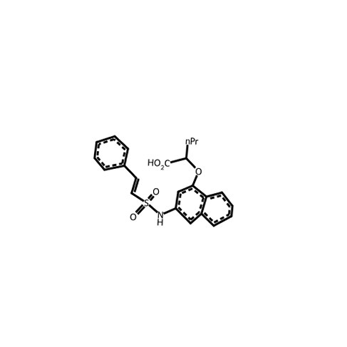 CCCC(Oc1cc(NS(=O)(=O)C=Cc2ccccc2)cc2ccccc12)C(=O)O